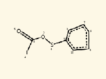 O=C(I)OSc1ccccc1